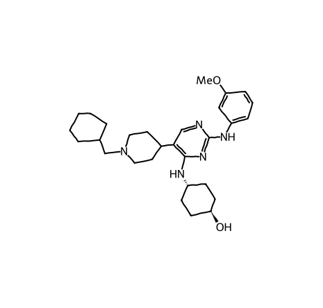 COc1cccc(Nc2ncc(C3CCN(CC4CCCCC4)CC3)c(N[C@H]3CC[C@H](O)CC3)n2)c1